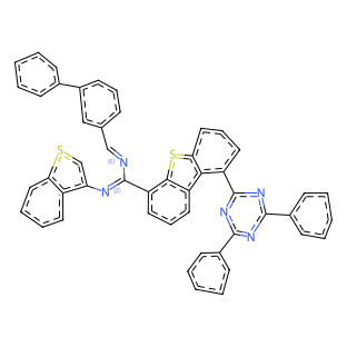 C(=N\C(=N/c1csc2ccccc12)c1cccc2c1sc1cccc(-c3nc(-c4ccccc4)nc(-c4ccccc4)n3)c12)/c1cccc(-c2ccccc2)c1